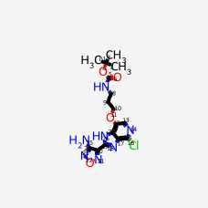 CC(C)(C)OC(=O)NCCCOc1cnc(Cl)c2nc(-c3nonc3N)[nH]c12